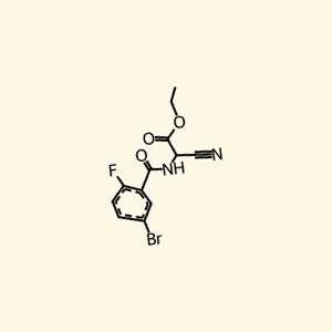 CCOC(=O)C(C#N)NC(=O)c1cc(Br)ccc1F